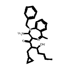 CCCCC(O)C(CC1CC1)C(=O)C1N=C(C)c2ccccc2N(Cc2ccccc2)C1N